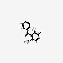 CCc1c(C)ccc(N)c1C(=O)c1ccccc1